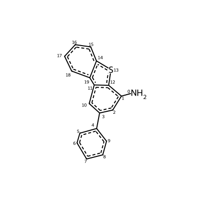 Nc1cc(-c2ccccc2)cc2c1sc1ccccc12